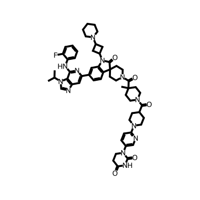 CC(C)n1cnc2cc(-c3ccc4c(c3)N(C3CC(N5CCCCC5)C3)C(=O)C43CCN(C(=O)C4(C)CCN(C(=O)C5CCN(c6ccc(N7CCC(=O)NC7=O)cn6)CC5)CC4)CC3)nc(Nc3ccccc3F)c21